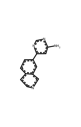 Nc1cc(-c2ccc3ccncc3c2)ncn1